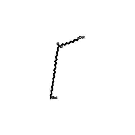 CCCCCCCCCCCCCCCCCCCCCCCCCCCCCCCCCC(=O)OCCCCCCCCCCCCCCCCCC